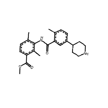 COC(=O)c1ccc(C)c(NC(=O)c2cc(C3CCNCC3)ccc2C)c1C